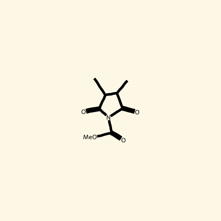 COC(=O)N1C(=O)C(C)C(C)C1=O